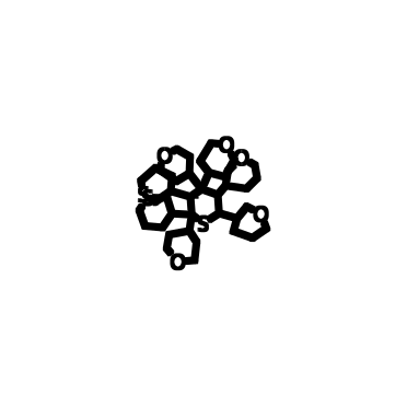 C1CSCC([C]2C(C3CCOCC3)(C3CCCSC3)SC(C3CCCOC3)C(C3CCCOC3)C2(C2CCOCC2)C2CCOCC2)C1